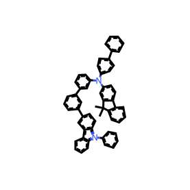 CC1(C)c2ccccc2-c2ccc(N(c3ccc(-c4ccccc4)cc3)c3cccc(-c4cccc(-c5ccc6c(c5)c5ccccc5n6-c5ccccc5)c4)c3)cc21